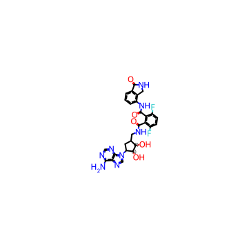 Nc1ncnc2c1ncn2C1CC(CNC(=O)c2c(F)ccc(F)c2C(=O)Nc2cccc3c2CNC3=O)[C@@H](O)[C@H]1O